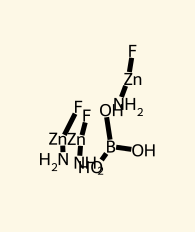 OB(O)O.[NH2][Zn][F].[NH2][Zn][F].[NH2][Zn][F]